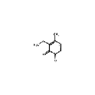 CCC1=C(C)C=CC(=O)C1=O